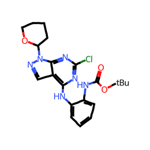 CC(C)(C)OC(=O)Nc1ccccc1Nc1nc(Cl)nc2c1cnn2C1CCCCO1